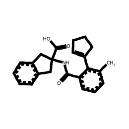 Cc1cccc(C(=O)NC2(C(=O)O)Cc3ccccc3C2)c1C1=CCCC1